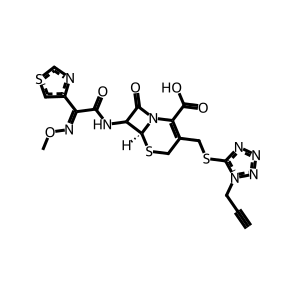 C#CCn1nnnc1SCC1=C(C(=O)O)N2C(=O)C(NC(=O)C(=NOC)c3cscn3)[C@@H]2SC1